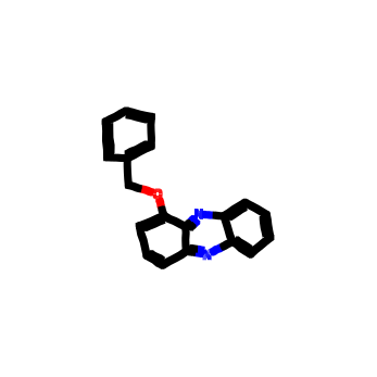 c1ccc(COc2cccc3nc4ccccc4nc23)cc1